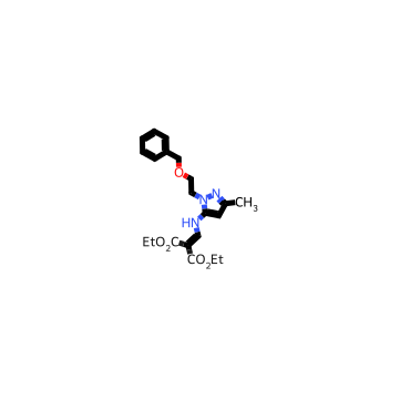 CCOC(=O)C(=CNc1cc(C)nn1CCOCc1ccccc1)C(=O)OCC